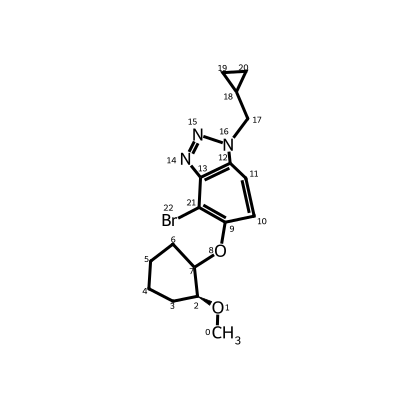 CO[C@H]1CCCCC1Oc1ccc2c(nnn2CC2CC2)c1Br